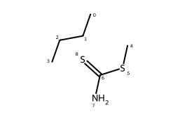 CCCC.CSC(N)=S